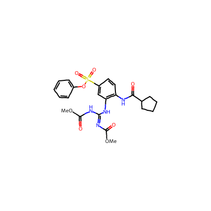 COC(=O)N=C(NC(=O)OC)Nc1cc(S(=O)(=O)Oc2ccccc2)ccc1NC(=O)C1CCCC1